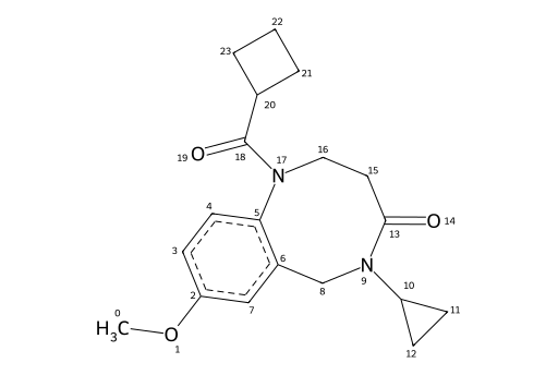 COc1ccc2c(c1)CN(C1CC1)C(=O)CCN2C(=O)C1CCC1